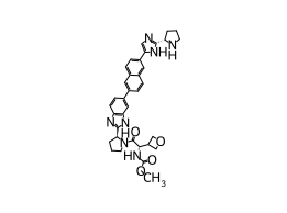 COC(=O)N[C@H](C(=O)N1CCC[C@H]1c1nc2ccc(-c3ccc4cc(-c5cnc([C@@H]6CCCN6)[nH]5)ccc4c3)cc2[nH]1)C1COC1